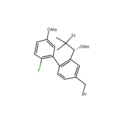 CCC(C)(C)[C@H](OC)c1cc(CC(C)C)ccc1-c1cc(OC)ccc1F